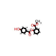 COC(=O)c1ccccc1OC(=O)c1ccc(O)cc1